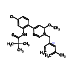 C=C/C(=C\C(=C)C)CN1C=NC(c2ccc(Cl)cc2NC(=O)C(C)(C)C)=CC1OC